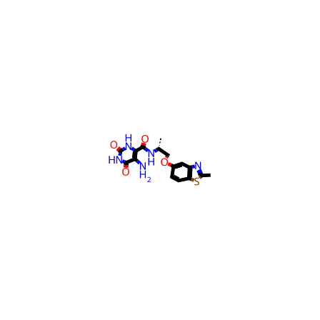 Cc1nc2cc(OC[C@@H](C)NC(=O)c3[nH]c(=O)[nH]c(=O)c3N)ccc2s1